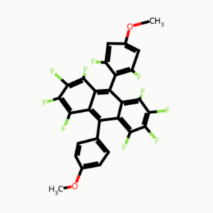 COc1ccc(-c2c3c(F)c(F)c(F)c(F)c3c(-c3c(F)cc(OC)cc3F)c3c(F)c(F)c(F)c(F)c23)cc1